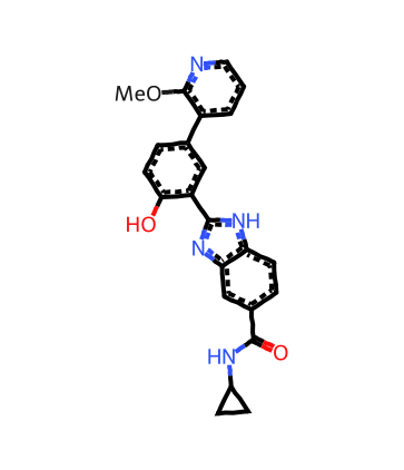 COc1ncccc1-c1ccc(O)c(-c2nc3cc(C(=O)NC4CC4)ccc3[nH]2)c1